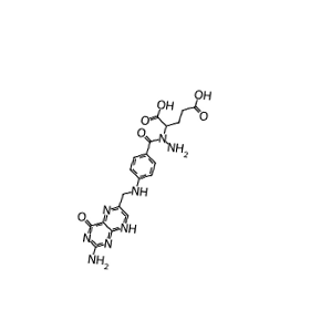 Nc1nc2[nH]cc(CNc3ccc(C(=O)N(N)C(CCC(=O)O)C(=O)O)cc3)nc-2c(=O)n1